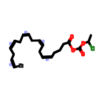 CC/C=C\C/C=C\C/C=C\C/C=C\C/C=C\CCCC(=O)OC(=O)OC(C)Cl